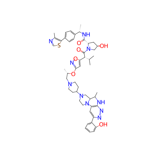 Cc1ncsc1-c1ccc([C@H](C)NC(=O)[C@@H]2C[C@@H](O)CN2C(=O)[C@@H](c2cc(O[C@@H](C)CN3CCC(N4CCN5c6cc(-c7ccccc7O)nnc6NC(C)C5C4)CC3)no2)C(C)C)cc1